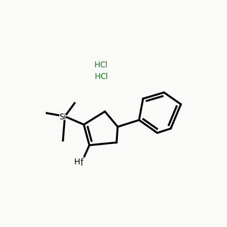 C[Si](C)(C)C1=[C]([Hf])CC(c2ccccc2)C1.Cl.Cl